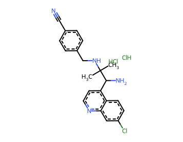 CC(C)(NCc1ccc(C#N)cc1)C(N)c1ccnc2cc(Cl)ccc12.Cl.Cl